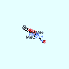 COc1nc(NCCCN2CCOCC2)nc(OC)c1NC(=O)c1ccc(Oc2cc3c(cc2C)C=C[Si]3(C)C)o1